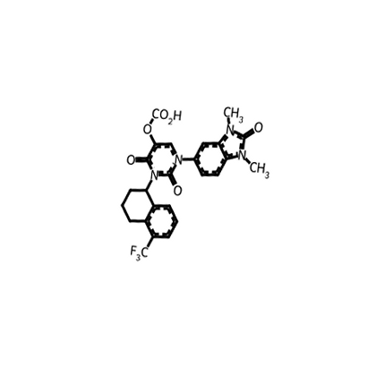 Cn1c(=O)n(C)c2cc(-n3cc(OC(=O)O)c(=O)n(C4CCCc5c4cccc5C(F)(F)F)c3=O)ccc21